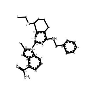 CCOC1CCCc2c(NCc3ccccc3)nc(-n3c(C)cc4c(C(N)=O)cccc43)nc21